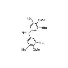 [2H]P(c1cc(C(C)(C)C)c(OC)c(C(C)(C)C)c1)c1cc(C(C)(C)C)c(OC)c(C(C)(C)C)c1